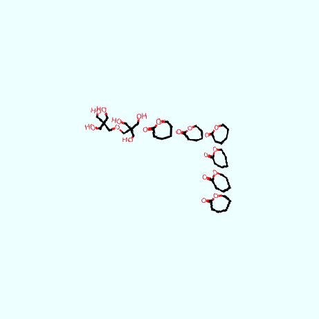 O=C1CCCCCO1.O=C1CCCCCO1.O=C1CCCCCO1.O=C1CCCCCO1.O=C1CCCCCO1.O=C1CCCCCO1.OCC(CO)(CO)COCC(CO)(CO)CO